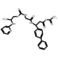 CC(COC(=O)NCC(=O)NC(CC(=O)OC(=O)C(F)(F)F)c1ccc(-c2ccccc2)cc1)Nc1ccccn1